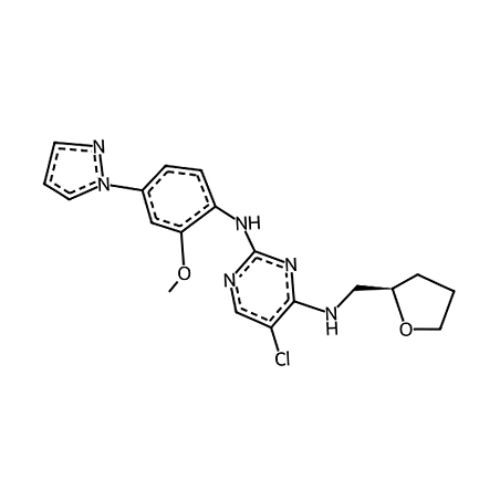 COc1cc(-n2cccn2)ccc1Nc1ncc(Cl)c(NC[C@H]2CCCO2)n1